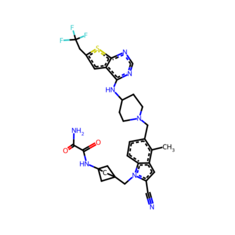 Cc1c(CN2CCC(Nc3ncnc4sc(CC(F)(F)F)cc34)CC2)ccc2c1cc(C#N)n2CC12CC(NC(=O)C(N)=O)(C1)C2